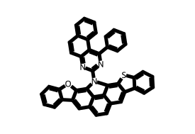 c1ccc(-c2nc(-n3c4c5oc6ccccc6c5cc5ccc6cc7c8ccccc8sc7c3c6c54)nc3ccc4ccccc4c23)cc1